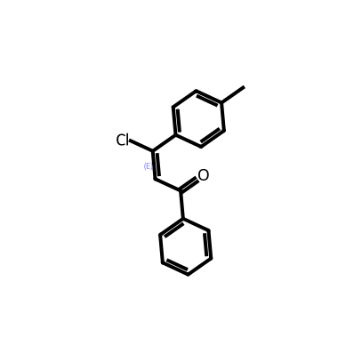 Cc1ccc(/C(Cl)=C\C(=O)c2ccccc2)cc1